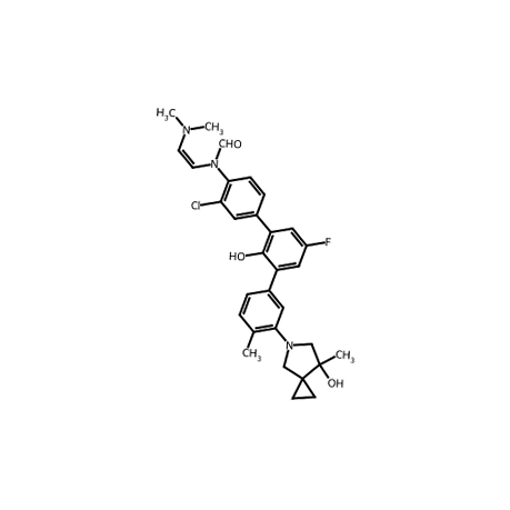 Cc1ccc(-c2cc(F)cc(-c3ccc(N(C=O)/C=C\N(C)C)c(Cl)c3)c2O)cc1N1CC(C)(O)C2(CC2)C1